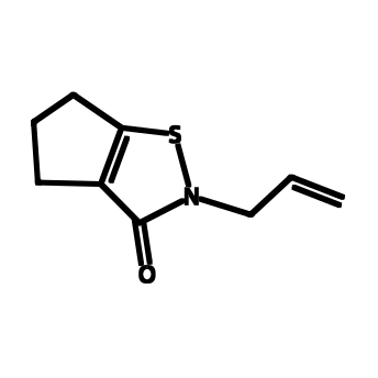 C=CCn1sc2c(c1=O)CCC2